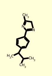 CC1=NC(c2ccc(C(C)C(C)C)cc2)=NC1